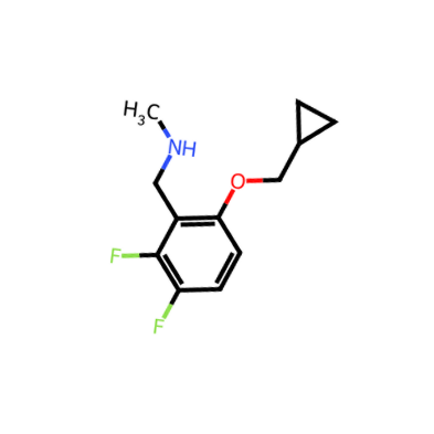 CNCc1c(OCC2CC2)ccc(F)c1F